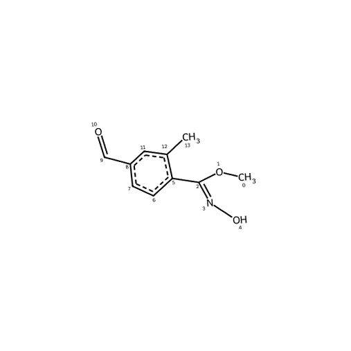 COC(=NO)c1ccc(C=O)cc1C